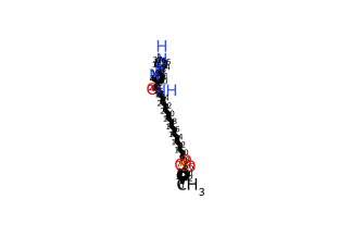 Cc1ccc(S(=O)(=O)OCCCCCCCCCCCCCCCCCNC(=O)c2ccc(N3CCNCC3)nc2)cc1